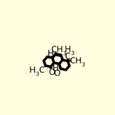 CC1=CC2[C@H](C(=O)CCC2(C)C)C2C(=O)[C@@H](C)CC[C@H]12